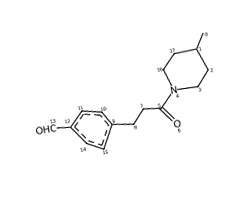 CC1CCN(C(=O)CCc2ccc(C=O)cc2)CC1